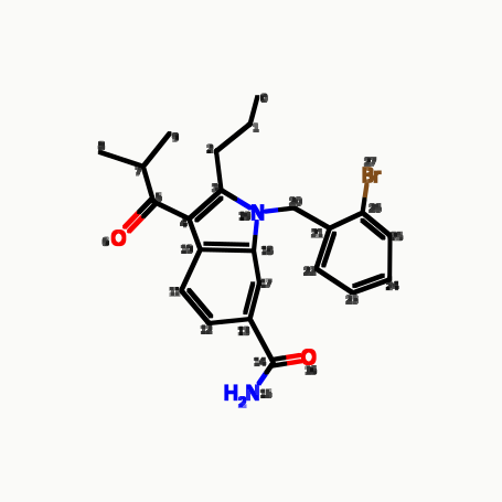 CCCc1c(C(=O)C(C)C)c2ccc(C(N)=O)cc2n1Cc1ccccc1Br